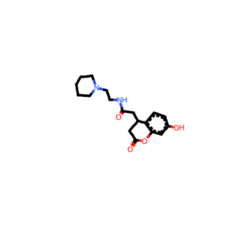 O=C(CC1CC(=O)Oc2cc(O)ccc21)NCCN1CCCCC1